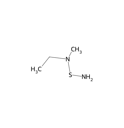 CCN(C)SN